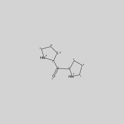 O=C(C1CCCN1)C1NCCS1